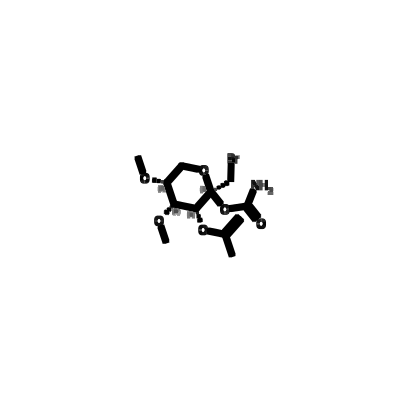 C=C(C)O[C@@H]1[C@H](OC)[C@H](OC)CO[C@@]1(CBr)OC(N)=O